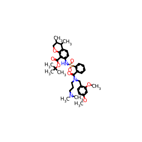 COc1ccc(CN(CCCN(C)C)C(=O)c2ccccc2S(=O)(=O)Nc2ccc3c(c2C(=O)OC(C)(C)C)OCC(C)C3C)c(OC)c1